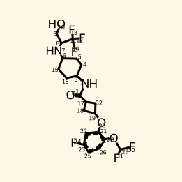 O=C(NC1CCC(NC(CO)C(F)(F)F)CC1)C1CC(Oc2cc(F)ccc2OC(F)F)C1